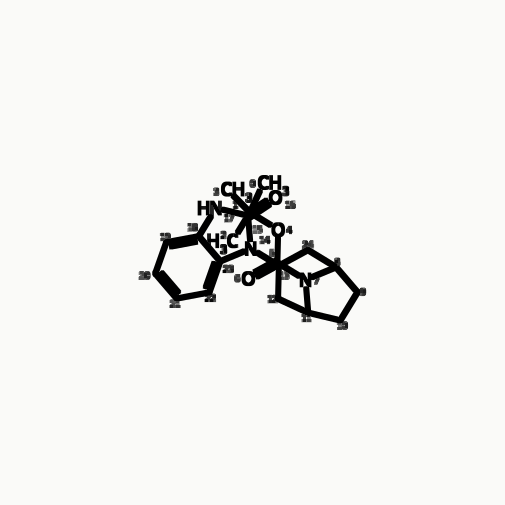 CC(C)(C)OC(=O)N1C2CCC1CC(n1c(=O)[nH]c3ccccc31)C2